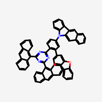 c1ccc2cc3c(cc2c1)c1ccccc1n3-c1ccc(-c2nc(-c3c4ccccc4cc4ccccc34)nc(-c3c4ccccc4cc4ccccc34)n2)c(-c2ccc3c(c2)oc2ccccc23)c1